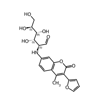 Cc1c(-c2ccco2)c(=O)oc2cc(N[C@H](C=O)[C@H](O)[C@@H](O)[C@@H](O)CO)ccc12